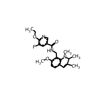 CCOc1ncc(C(=O)NCc2c(OC)ccc3c2N(C)C(C)C(C)=C3)cc1F